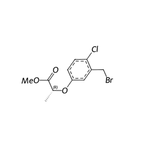 COC(=O)[C@@H](C)Oc1ccc(Cl)c(CBr)c1